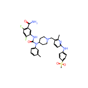 Cc1cccc(N(C(=O)Nc2cc(C(N)=O)c(F)cc2F)C2CCN(Cc3ccc(Nc4ccc(S(C)(=O)=O)cc4)nc3C)CC2)c1